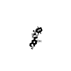 C=N/C=C\c1cc(-c2cnc(N(C)[C@H]3C[C@]4(C)CC[C@@](C)(N4)[C@H]3F)nn2)c(O)cc1C